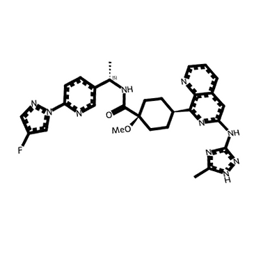 CO[C@]1(C(=O)N[C@@H](C)c2ccc(-n3cc(F)cn3)nc2)CC[C@H](c2nc(Nc3n[nH]c(C)n3)cc3cccnc32)CC1